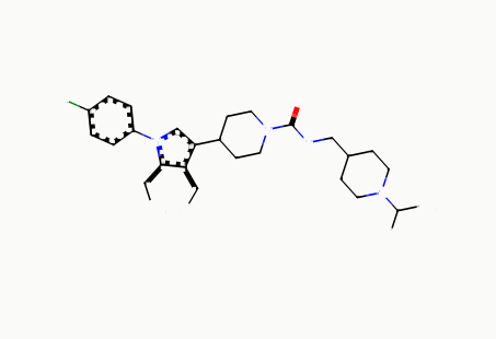 C/C=c1/c(C2CCN(C(=O)NCC3CCN(C(C)C)CC3)CC2)cn(-c2ccc(Cl)cc2)/c1=C/C